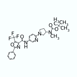 CN(C(=O)OC(C)(C)C)C1CCN(c2ccc(NC(=O)c3nc(-c4ccccc4)oc3C(F)(F)F)cn2)C1